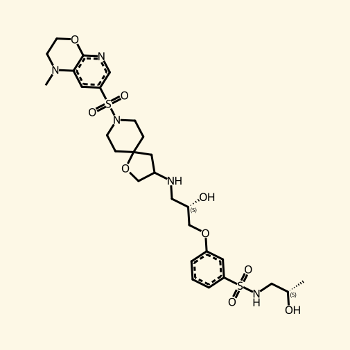 C[C@H](O)CNS(=O)(=O)c1cccc(OC[C@@H](O)CNC2COC3(CCN(S(=O)(=O)c4cnc5c(c4)N(C)CCO5)CC3)C2)c1